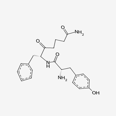 NC(=O)CCCC(=O)[C@@H](Cc1ccccc1)NC(=O)[C@@H](N)Cc1ccc(O)cc1